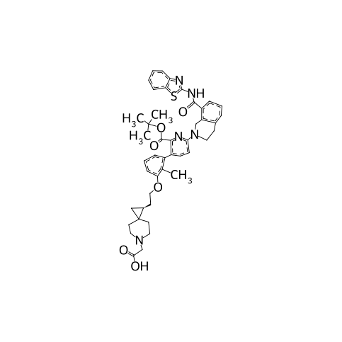 Cc1c(OCC[C@@H]2CC23CCN(CC(=O)O)CC3)cccc1-c1ccc(N2CCc3cccc(C(=O)Nc4nc5ccccc5s4)c3C2)nc1C(=O)OC(C)(C)C